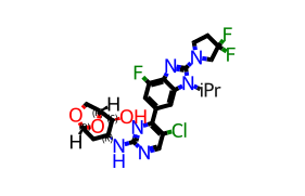 CC(C)n1c(N2CCC(F)(F)C2)nc2c(F)cc(-c3nc(N[C@@H]4C[C@@H]5OC[C@@H](O5)[C@H]4O)ncc3Cl)cc21